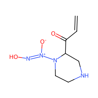 C=CC(=O)C1CNCCN1[N+]([O-])=NO